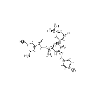 NCCN(CCN)C(=O)CC[C@H](N)C(=O)N[C@H](CCc1ccc(C(F)(F)F)cc1)C(=O)Nc1cc(F)cc(B(O)O)c1